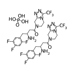 NC(CC(=O)N1CCn2c(nnc2C(F)(F)F)C1)Cc1cc(F)c(F)cc1F.NC(CC(=O)N1CCn2c(nnc2C(F)(F)F)C1)Cc1cc(F)c(F)cc1F.O=P(O)(O)O